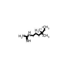 CCC(C)(C)CCCNC(=N)N